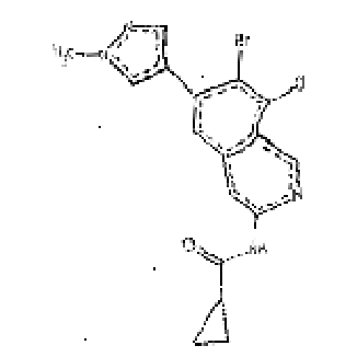 Cn1cc(-c2cc3cc(NC(=O)C4CC4)ncc3c(Cl)c2Br)cn1